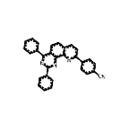 N#Cc1ccc(-c2ccc3ccc4c(-c5ccccc5)nc(-c5ccccc5)nc4c3n2)cc1